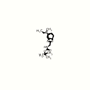 CCN(C)c1ccc2sc(CNC(=O)OC(C)(C)C)nc2c1